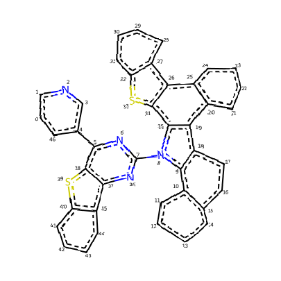 c1cncc(-c2nc(-n3c4c5ccccc5ccc4c4c5ccccc5c5c6ccccc6sc5c43)nc3c2sc2ccccc23)c1